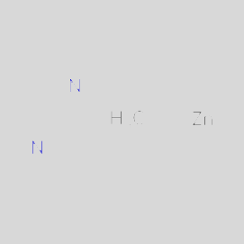 C1=NC=NC1.[CH3][Zn]